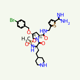 CS(=O)(=O)N[C@H](CCC1CCNCC1)C(=O)N1C[C@H](OCc2ccc(Br)cc2)C[C@H]1C(=O)NCc1ccc(C(=N)N)s1